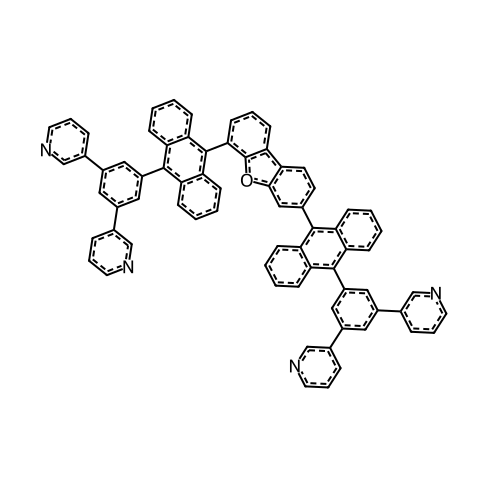 c1cncc(-c2cc(-c3cccnc3)cc(-c3c4ccccc4c(-c4ccc5c(c4)oc4c(-c6c7ccccc7c(-c7cc(-c8cccnc8)cc(-c8cccnc8)c7)c7ccccc67)cccc45)c4ccccc34)c2)c1